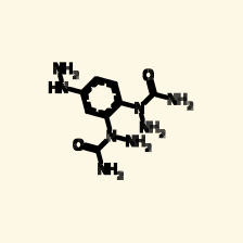 NNc1ccc(N(N)C(N)=O)c(N(N)C(N)=O)c1